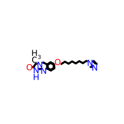 CC1C(=O)NC2=Nc3ccc(OCCCCCCCCn4ccnc4)cc3CN21